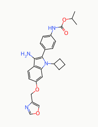 CC(C)OC(=O)Nc1ccc(-c2c(N)c3ccc(OCc4cocn4)cc3n2C2CCC2)cc1